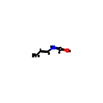 CC(C)C=CN=C=O